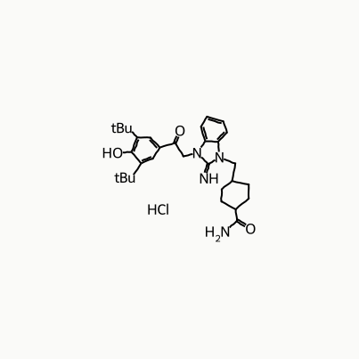 CC(C)(C)c1cc(C(=O)Cn2c(=N)n(CC3CCC(C(N)=O)CC3)c3ccccc32)cc(C(C)(C)C)c1O.Cl